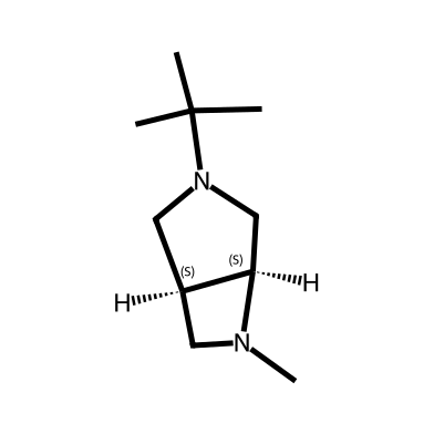 CN1C[C@H]2CN(C(C)(C)C)C[C@H]21